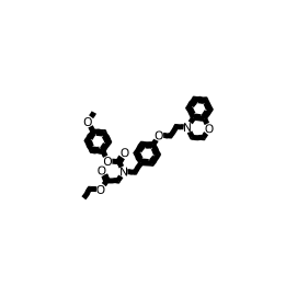 CCOC(=O)CN(Cc1ccc(OCCN2CCOc3ccccc32)cc1)C(=O)Oc1ccc(OC)cc1